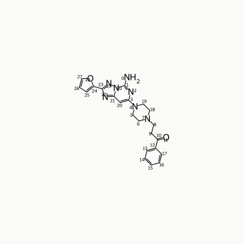 Nc1nc(N2CCN(CCC(=O)c3ccccc3)CC2)cc2nc(-c3ccco3)nn12